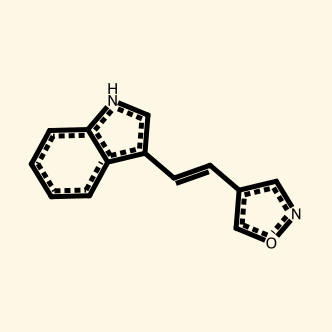 C(=C\c1c[nH]c2ccccc12)/c1cnoc1